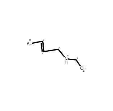 CC(=O)/C=C/CNCO